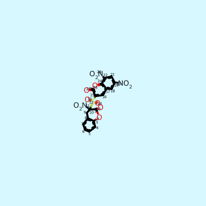 O=C1Oc2ccccc2CC1([N+](=O)[O-])S(=O)(=O)c1cc2cc([N+](=O)[O-])cc([N+](=O)[O-])c2oc1=O